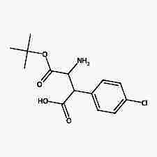 CC(C)(C)OC(=O)C(N)C(C(=O)O)c1ccc(Cl)cc1